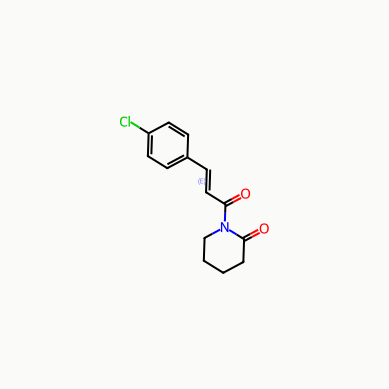 O=C(/C=C/c1ccc(Cl)cc1)N1CCCCC1=O